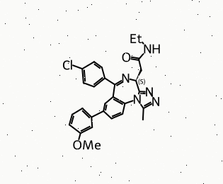 CCNC(=O)C[C@@H]1N=C(c2ccc(Cl)cc2)c2cc(-c3cccc(OC)c3)ccc2-n2c(C)nnc21